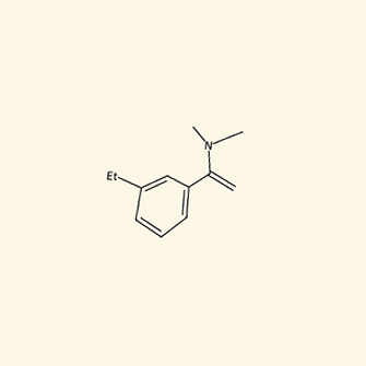 C=C(c1cccc(CC)c1)N(C)C